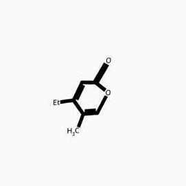 CCc1cc(=O)occ1C